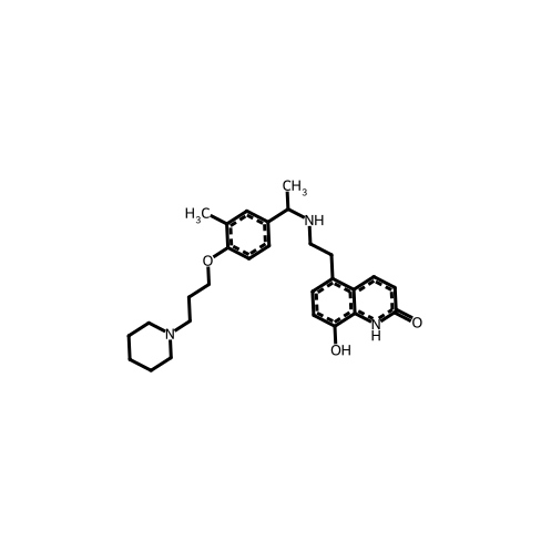 Cc1cc(C(C)NCCc2ccc(O)c3[nH]c(=O)ccc23)ccc1OCCCN1CCCCC1